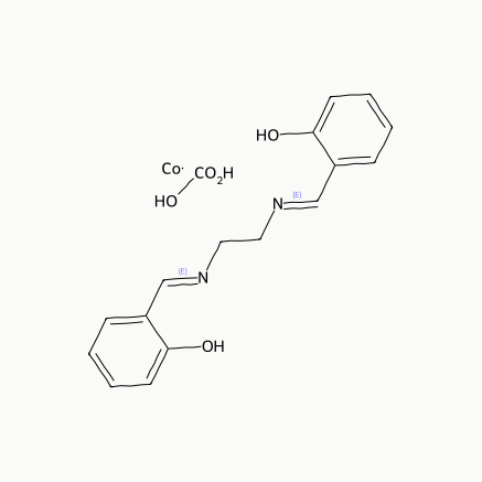 O=C(O)O.Oc1ccccc1/C=N/CC/N=C/c1ccccc1O.[Co]